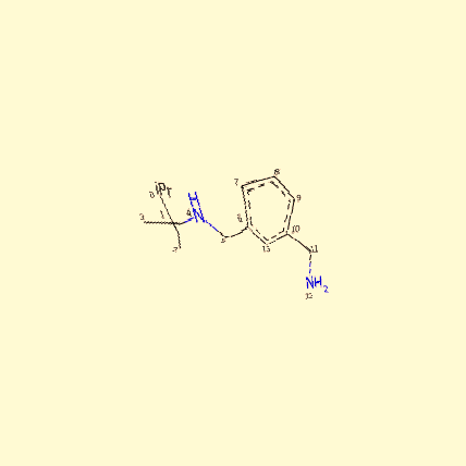 CC(C)C(C)(C)NCc1cccc(CN)c1